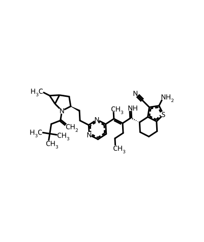 C=C(CC(C)(C)C)N1C2C(C)C2C[C@H]1CCc1nccc(/C(C)=C(\CCC)C(=N)[C@H]2CCCc3sc(N)c(C#N)c32)n1